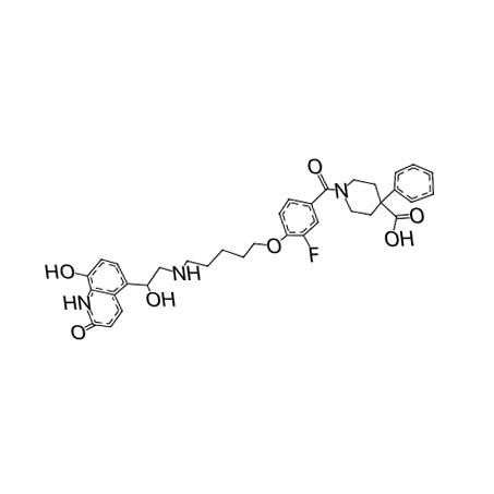 O=C(c1ccc(OCCCCCNCC(O)c2ccc(O)c3[nH]c(=O)ccc23)c(F)c1)N1CCC(C(=O)O)(c2ccccc2)CC1